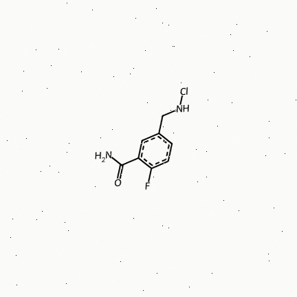 NC(=O)c1cc(CNCl)ccc1F